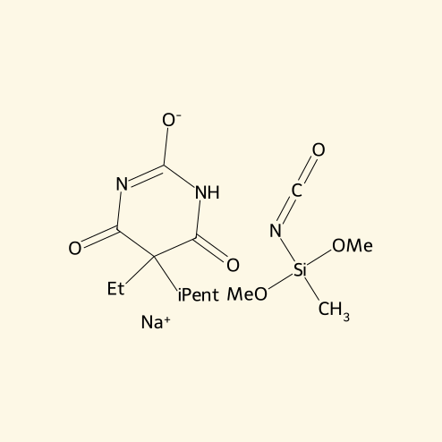 CCCC(C)C1(CC)C(=O)N=C([O-])NC1=O.CO[Si](C)(N=C=O)OC.[Na+]